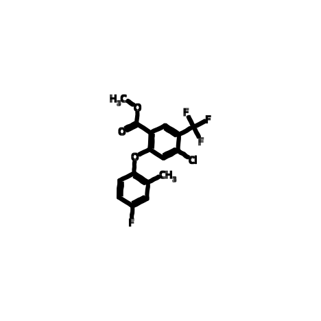 COC(=O)c1cc(C(F)(F)F)c(Cl)cc1Oc1ccc(F)cc1C